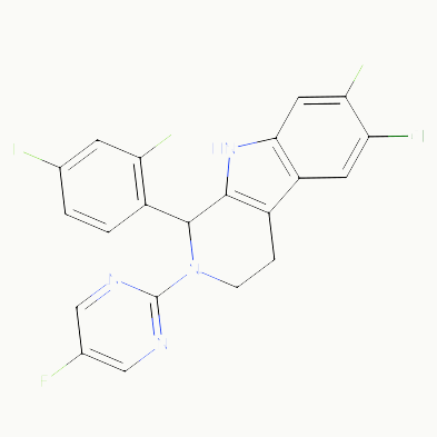 Fc1cnc(N2CCc3c([nH]c4cc(F)c(Cl)cc34)C2c2ccc(F)cc2F)nc1